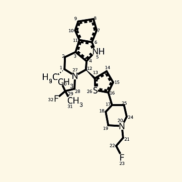 C[C@@H]1Cc2c([nH]c3ccccc23)[C@@H](c2ccc(C3CCN(CCF)CC3)s2)N1CC(C)(C)F